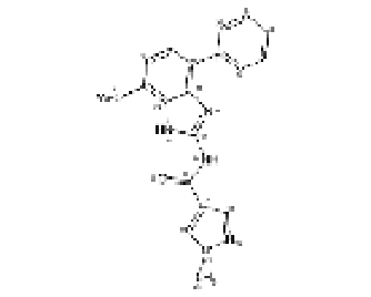 COc1ccc(-c2ccccc2)c2nc(NC(=O)c3cnn(C)c3)[nH]c12